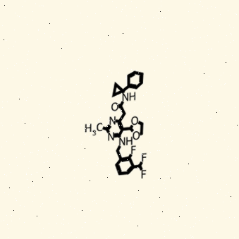 Cc1nc(CC(=O)NC2(c3ccccc3)CC2)c(C2OCCO2)c(NCc2cccc(C(F)F)c2F)n1